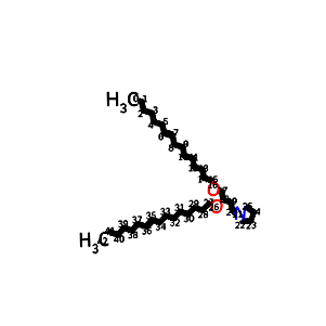 CCCCCCC=CCCCCCCCCOCC(CCN1CCCC1)OCCCCCCCCC=CCCCCCC